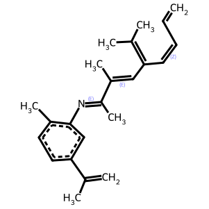 C=C/C=C\C(/C=C(C)/C(C)=N/c1cc(C(=C)C)ccc1C)=C(C)C